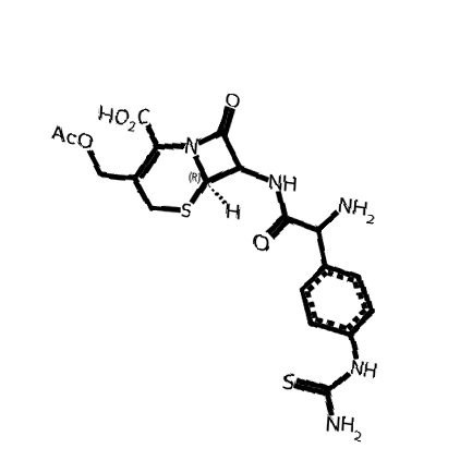 CC(=O)OCC1=C(C(=O)O)N2C(=O)C(NC(=O)C(N)c3ccc(NC(N)=S)cc3)[C@H]2SC1